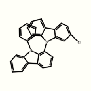 Clc1ccc2c3ccccc3n(-c3cccc4c5ccccc5n(-c5ccccc5)c34)c2c1